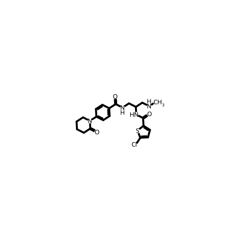 CNCC(CNC(=O)c1ccc(N2CCCCC2=O)cc1)NC(=O)c1ccc(Cl)s1